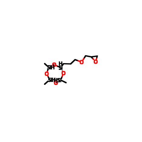 C[SiH]1O[SiH](C)O[SiH](CCCOCC2CO2)O[SiH](C)O1